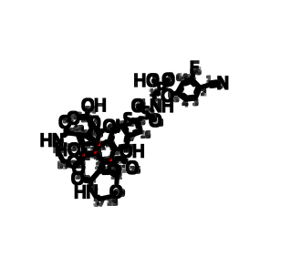 N#Cc1ccc(OP(=O)(O)CNS(=O)(=O)c2cc3cc(-c4cc5c(CC(=O)O)c(c4CC(=O)O)C(=O)NCCO5)c(-c4cc5c(CC(=O)O)c(c4CC(=O)O)C(=O)NCCO5)cc3s2)cc1F